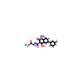 CC(=O)CNC(=O)c1c(O)c2cc(-c3cccc(F)c3)ccc2n(C)c1=O